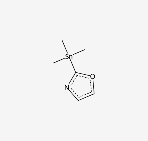 [CH3][Sn]([CH3])([CH3])[c]1ncco1